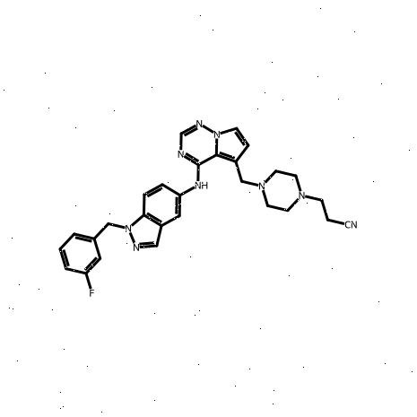 N#CCCN1CCN(Cc2ccn3ncnc(Nc4ccc5c(cnn5Cc5cccc(F)c5)c4)c23)CC1